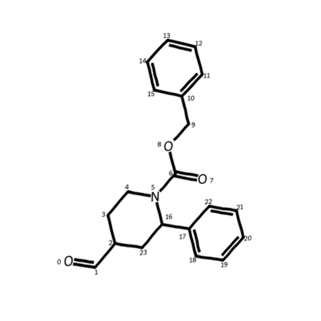 O=CC1CCN(C(=O)OCc2ccccc2)C(c2ccccc2)C1